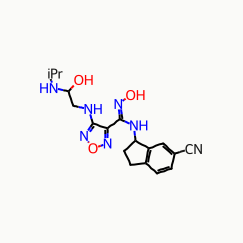 CC(C)NC(O)CNc1nonc1/C(=N/O)NC1CCc2ccc(C#N)cc21